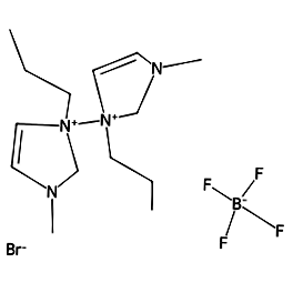 CCC[N+]1([N+]2(CCC)C=CN(C)C2)C=CN(C)C1.F[B-](F)(F)F.[Br-]